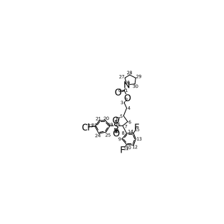 O=C(OCCCCC(c1cc(F)ccc1F)S(=O)(=O)c1ccc(Cl)cc1)N1CCCC1